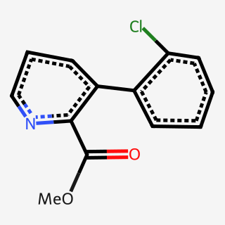 COC(=O)c1ncccc1-c1ccccc1Cl